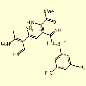 CNC(=O)/C(N)=C(/C=C(N)/C(C=N)=C(\C)NC)C(=N)N[C@H](C)c1cc(N)cc(C(F)(F)F)c1